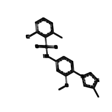 COc1cc(NS(=O)(=O)c2c(C)cccc2Cl)ccc1-n1cnc(C)c1